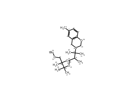 Cc1ccc2c(c1)CN(C(C)(C)C(C)COC(C)(N)C(C)(C)COC(C)(C)C)CO2